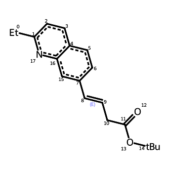 CCc1ccc2ccc(/C=C/CC(=O)OC(C)(C)C)cc2n1